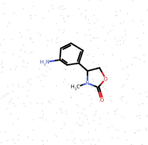 CN1C(=O)OCC1c1cccc(N)c1